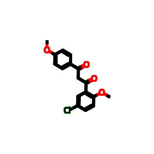 COc1ccc(C(=O)CC(=O)c2cc(Cl)ccc2OC)cc1